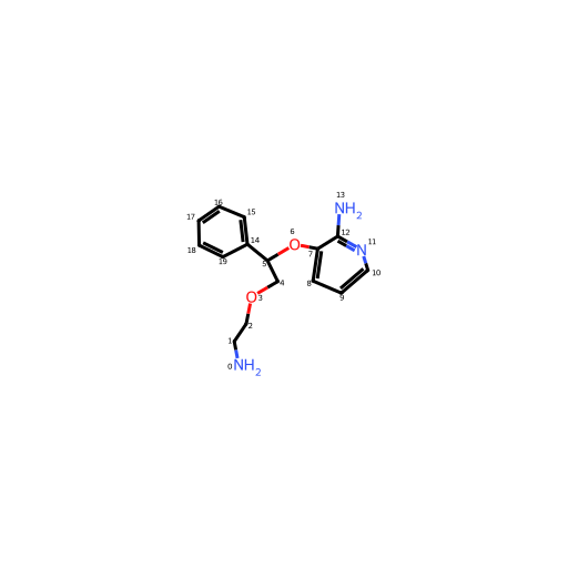 NCCOCC(Oc1cccnc1N)c1ccccc1